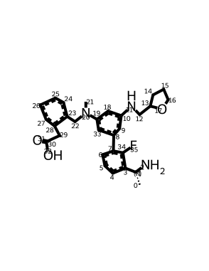 C[C@@H](N)c1cccc(-c2cc(NCC3CCCO3)cc(N(C)Cc3ccccc3CC(=O)O)c2)c1F